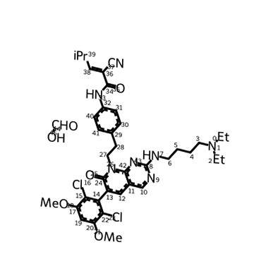 CCN(CC)CCCCNc1ncc2cc(-c3c(Cl)c(OC)cc(OC)c3Cl)c(=O)n(CCc3ccc(NC(=O)C(C#N)=CC(C)C)cc3)c2n1.O=CO